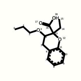 CCCOC1Cc2ccccc2OC1(CC)C(=O)O